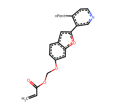 C=CC(=O)OCOc1ccc2cc(-c3cnccc3CCCCC)oc2c1